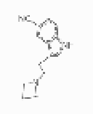 N#Cc1ccc2[nH]cc(CCN3CCC3)c2c1